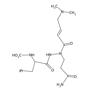 CC(C)CC(NC(=O)O)C(=O)NN(CCC(N)=O)C(=O)/C=C/CN(C)C